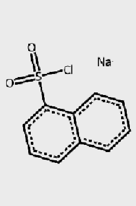 O=S(=O)(Cl)c1cccc2ccccc12.[Na]